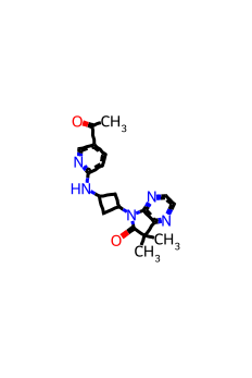 CC(=O)c1ccc(NC2CC(N3C(=O)C(C)(C)c4nccnc43)C2)nc1